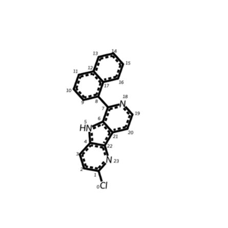 Clc1ccc2[nH]c3c(-c4cccc5ccccc45)nccc3c2n1